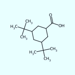 CC(C)(C)C1CC(C(=O)O)CC(C(C)(C)C)C1